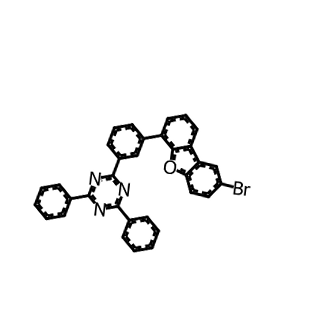 Brc1ccc2oc3c(-c4cccc(-c5nc(-c6ccccc6)nc(-c6ccccc6)n5)c4)cccc3c2c1